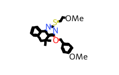 COCCSc1nc(OCc2ccc(OC)cc2)c2c(n1)-c1ccccc1CC2(C)C